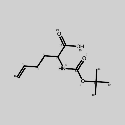 C=CCCC(NC(=O)OC(C)(C)C)C(=O)O